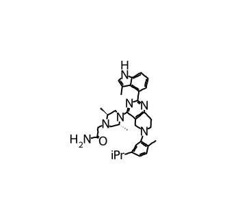 Cc1ccc(C(C)C)cc1N1CCc2nc(-c3cccc4[nH]cc(C)c34)nc(N3C[C@H](C)N(CC(N)=O)C[C@H]3C)c2C1